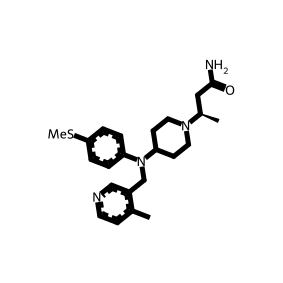 CSc1ccc(N(Cc2cnccc2C)C2CCN([C@H](C)CC(N)=O)CC2)cc1